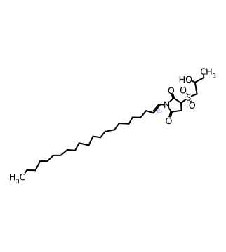 CCCCCCCCCCCCCCCCCCCC/C=C/N1C(=O)CC(S(=O)(=O)CC(O)CC)C1=O